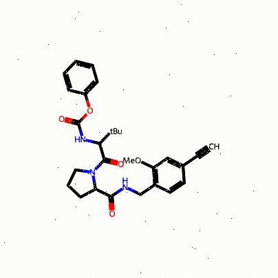 C#Cc1ccc(CNC(=O)C2CCCN2C(=O)C(NC(=O)Oc2ccccc2)C(C)(C)C)c(OC)c1